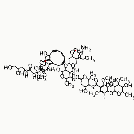 CCN(C(=O)CN)C1COC(OC2C(O[C@H]3C#C/C=C\C#C[C@]4(O)CC(=O)C(NC(=O)OC)=C3/C4=C\CSSC(C)(C)CC(=O)NCC(O)CO)OC(C)C(NOC3CC(O)C(SC(=O)c4c(C)c(I)c(OC5OC(C)C(O)C(OC)C5O)c(OC)c4OC)C(C)O3)C2O)CC1OC